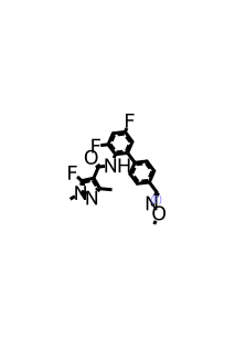 CO/N=C/c1ccc(-c2cc(F)cc(F)c2NC(=O)c2c(C)nn(C)c2F)cc1